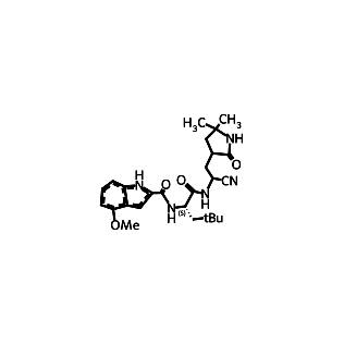 COc1cccc2[nH]c(C(=O)N[C@@H](CC(C)(C)C)C(=O)NC(C#N)CC3CC(C)(C)NC3=O)cc12